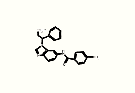 CCOC(=O)CC(c1ccccc1)n1cnc2ccc(NC(=O)c3ccc(N)cc3)cc21